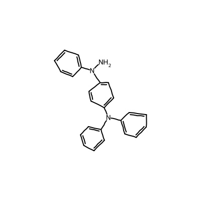 NN(c1ccccc1)c1ccc(N(c2ccccc2)c2ccccc2)cc1